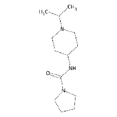 CC(C)N1CCC(NC(=O)N2CCCC2)CC1